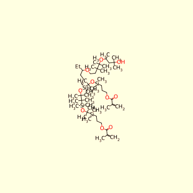 C=C(C)C(=O)OCCC[Si](C)(C)OC(C)(C)[Si](C)(CCCC(CC)OCCC(C)(C)C(C)(C)OC(C)CC(C)(C)O)OC(C)(C)C(C)(C)[Si](C)(C)OC(C)(C)[Si](C)(C)CCCOC(=O)C(=C)C